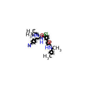 Cc1ccc([C@@H](C)NCc2ccc(-c3ccc(Cl)c(C(=O)N[C@H](/C=C/c4ccc(C#N)cc4)CNCC(C)C)c3)o2)cc1